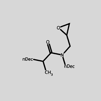 CCCCCCCCCCC(C)C(=O)N(CCCCCCCCCC)CC1CO1